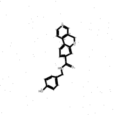 O=C(NCc1ccc(O)cc1)c1ccc2c(c1)OCc1cnccc1-2